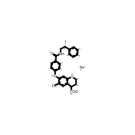 C[C@@H](CNC(=O)c1ccc(Oc2cc3c(cc2Cl)C(C(=O)[O-])CCO3)cc1)c1ccccc1.[Na+]